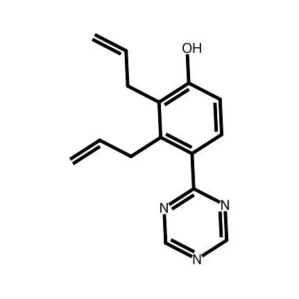 C=CCc1c(O)ccc(-c2ncncn2)c1CC=C